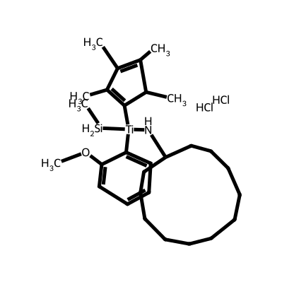 COc1cccc[c]1[Ti]([NH]C1CCCCCCCCCCC1)([SiH2]C)[C]1=C(C)C(C)=C(C)C1C.Cl.Cl